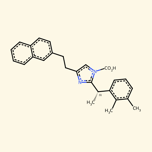 Cc1cccc([C@H](C)c2nc(CCc3ccc4ccccc4c3)cn2C(=O)O)c1C